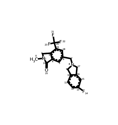 CN1Cc2c(cc(CN3Cc4ccc(F)cc4C3)cc2C(F)(F)F)C1=O